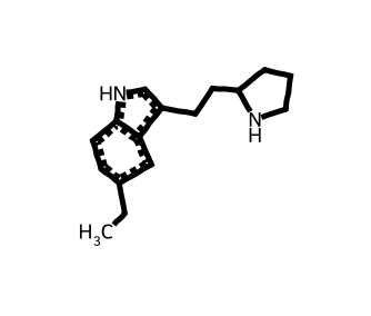 CCc1ccc2[nH]cc(CCC3CCCN3)c2c1